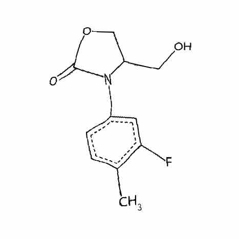 Cc1ccc(N2C(=O)OCC2CO)cc1F